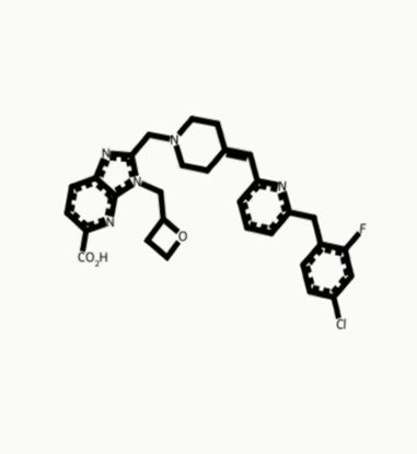 O=C(O)c1ccc2nc(CN3CCC(=Cc4cccc(Cc5ccc(Cl)cc5F)n4)CC3)n(CC3CCO3)c2n1